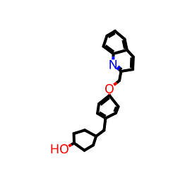 OC1CCC(Cc2ccc(OCc3ccc4ccccc4n3)cc2)CC1